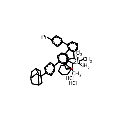 CC1=Cc2c(-c3ccc(C45CC6CC(CC(C6)C4)C5)cc3)cccc2[CH]1[Zr]([CH3])([CH3])(=[SiH2])[CH]1C(C2CCCCC2)=Cc2c(-c3ccc(C(C)C)cc3)cccc21.Cl.Cl